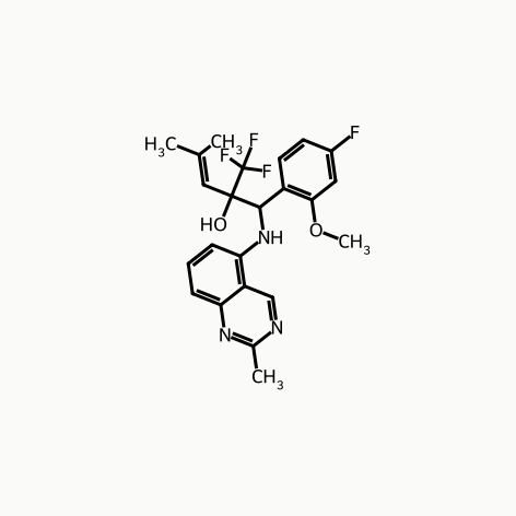 COc1cc(F)ccc1C(Nc1cccc2nc(C)ncc12)C(O)(C=C(C)C)C(F)(F)F